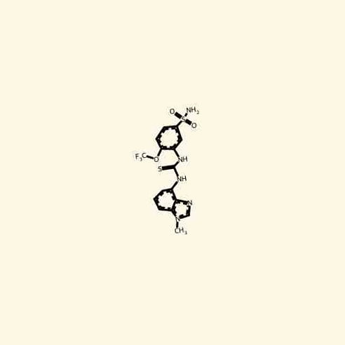 Cn1cnc2c(NC(=S)Nc3cc(S(N)(=O)=O)ccc3OC(F)(F)F)cccc21